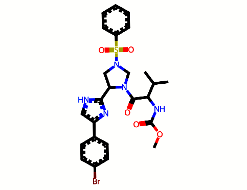 COC(=O)NC(C(=O)N1CN(S(=O)(=O)c2ccccc2)CC1c1nc(-c2ccc(Br)cc2)c[nH]1)C(C)C